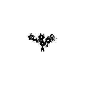 N#Cc1cc2c(c3ccccc3n2CCCN2CCCC2)n(-c2ccc([N+](=O)[O-])cc2)c1=O